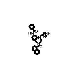 O=C(Nc1ccc2c(c1)N(Cc1c[nH]cn1)CCN(C(=O)c1cccc3ccccc13)C2)c1ccccc1